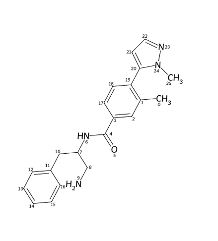 Cc1cc(C(=O)NC(CN)Cc2ccccc2)ccc1-c1ccnn1C